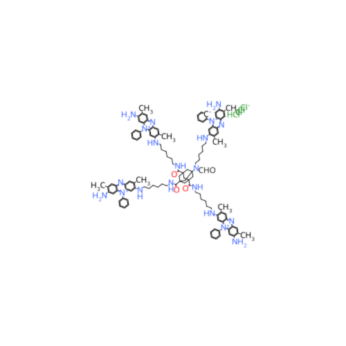 Cc1cc2nc3cc(C)c(NCCCCCCN(C=O)C45CC6(C(=O)NCCCCCCNc7cc8c(cc7C)nc7cc(C)c(N)cc7[n+]8-c7ccccc7)CC(C(=O)NCCCCCCNc7cc8c(cc7C)nc7cc(C)c(N)cc7[n+]8-c7ccccc7)(CC(C(=O)NCCCCCCNc7cc8c(cc7C)nc7cc(C)c(N)cc7[n+]8-c7ccccc7)(C6)C4)C5)cc3[n+](-c3[c-]cccc3)c2cc1N.Cl.[Cl-].[Cl-].[Cl-]